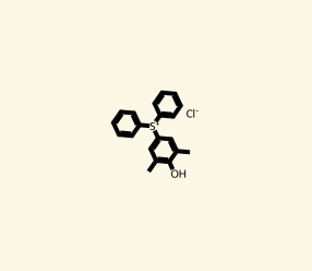 Cc1cc([S+](c2ccccc2)c2ccccc2)cc(C)c1O.[Cl-]